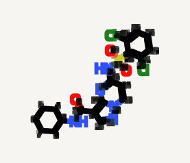 O=C(NC1CCCCC1)c1cnn2ccc(NS(=O)(=O)c3c(Cl)cccc3Cl)nc12